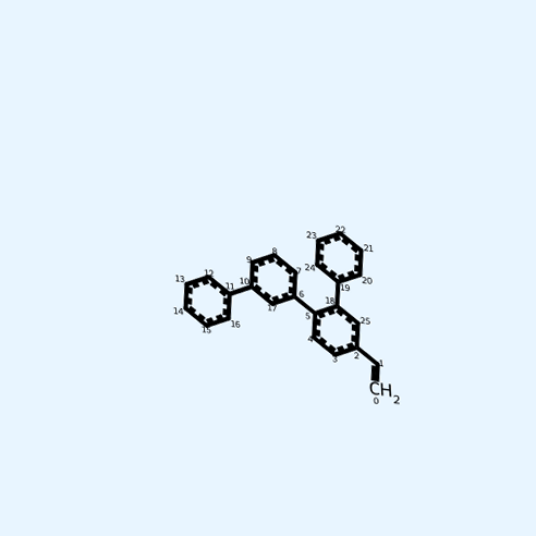 C=Cc1ccc(-c2cccc(-c3ccccc3)c2)c(-c2ccccc2)c1